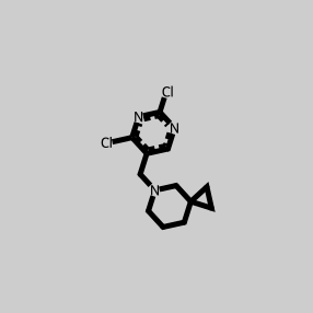 Clc1ncc(CN2CCCC3(CC3)C2)c(Cl)n1